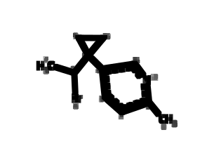 Cc1ccc(C2(C(C)Br)CC2)cn1